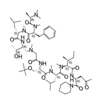 CC[C@H](C)[C@@H](C(=O)N[C@@H](CC(C)=O)C(=O)N1CCCCC1)N(C)C(=O)[C@H](CC(C)C)N(C)C(=O)[C@H](COC(C)(C)C)NC(=O)CN(C)C[C@@H](NC(=O)[C@H](CC(C)C)N(C)C(=O)[C@H](Cc1ccccc1)N(C)C(=O)[C@@H](C)N(C)C)[C@@H](C)O